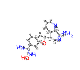 N=C(NO)c1ccc2cc(-c3cnc(N)c4ncccc34)oc2c1